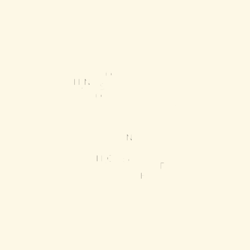 COc1ncc(C2=C(c3ccc(S(N)(=O)=O)cc3)CCC2)cc1C(F)F